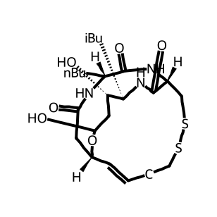 CCCC[C@H]1NC(=O)C[C@H]2/C=C/CCSSC[C@@H](NC1=O)C(=O)N[C@H](C(C)CC)[C@@H](O)CC(O)O2